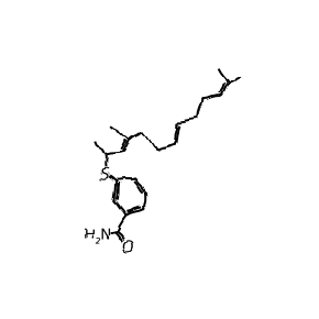 CC(C)=CCC/C=C/CC/C(C)=C/C(C)Sc1cccc(C(N)=O)c1